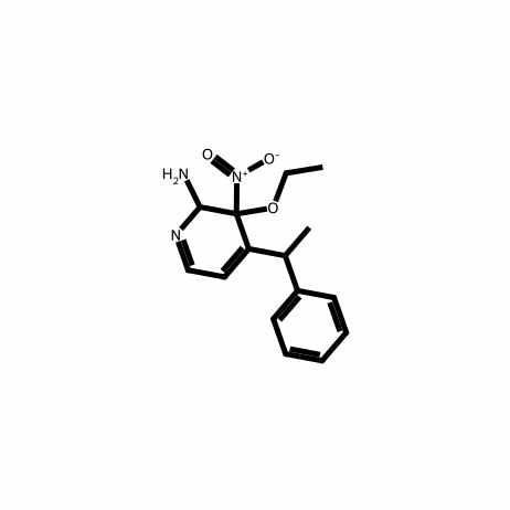 CCOC1([N+](=O)[O-])C(C(C)c2ccccc2)=CC=NC1N